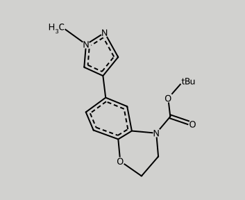 Cn1cc(-c2ccc3c(c2)N(C(=O)OC(C)(C)C)CCO3)cn1